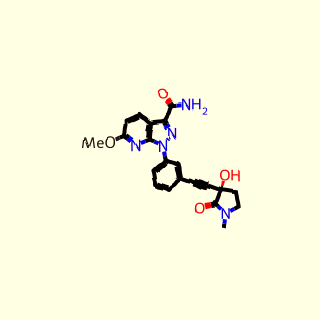 COc1ccc2c(C(N)=O)nn(-c3cccc(C#C[C@]4(O)CCN(C)C4=O)c3)c2n1